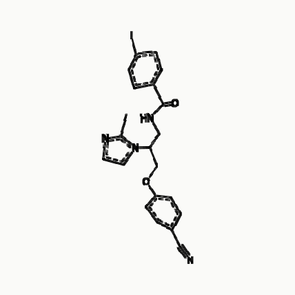 Cc1nccn1C(CNC(=O)c1ccc(I)cc1)COc1ccc(C#N)cc1